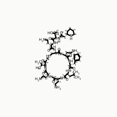 CC(C)C[C@@H]1NC(=O)[C@@H](Cc2ccccc2)NC(=O)[C@H](CCN)NC(=O)[C@@H](NC(=O)[C@H](CCN)NC(=O)[C@@H](NC(=O)C[C@@H]2CCCCN2)C(C)O)CCNC(=O)[C@H](C(C)O)NC(=O)[C@H](CCN)NC(=O)[C@H](CCN)NC1=O